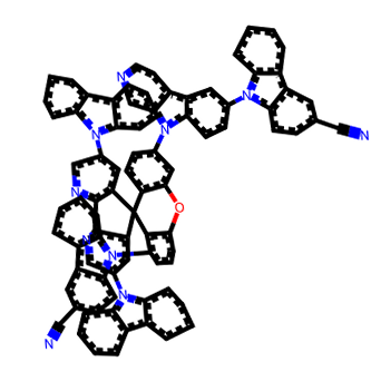 N#Cc1ccc2c(c1)c1ccccc1n2-c1ccc2c(c1)c1ccncc1n2-c1ccc2c(c1)Oc1cccc(-n3c4ccccc4c4cc(C#N)ccc43)c1C21c2cc(-n3c4ccccc4c4ccccc43)cnc2-c2ncc(-n3c4ccccc4c4ccccc43)cc21